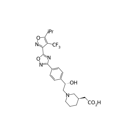 CC(C)c1onc(-c2nc(-c3ccc([C@H](O)CN4CCC[C@H](CC(=O)O)C4)cc3)no2)c1C(F)(F)F